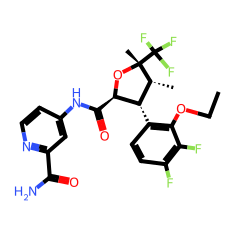 CCOc1c([C@@H]2[C@@H](C(=O)Nc3ccnc(C(N)=O)c3)O[C@](C)(C(F)(F)F)[C@@H]2C)ccc(F)c1F